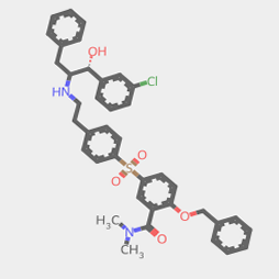 CN(C)C(=O)c1cc(S(=O)(=O)c2ccc(CCNC(Cc3ccccc3)[C@H](O)c3cccc(Cl)c3)cc2)ccc1OCc1ccccc1